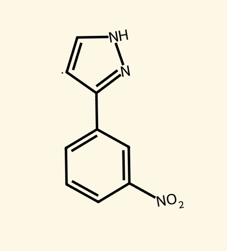 O=[N+]([O-])c1cccc(-c2[c]c[nH]n2)c1